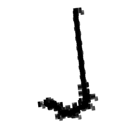 CCNC(=O)c1nc(NC(=O)CCNC(=O)c2cc(NC(=O)c3nc(NC(=O)CCNC(=O)c4cc(NC(=O)c5nc(NC(=O)CCNC(=O)COCCOCCOCCOCCOCCOCCOCCOCCOCCOCCOCCOCCOCCOCCOCN)cn5C)cn4C)cn3C)cn2C)cn1C